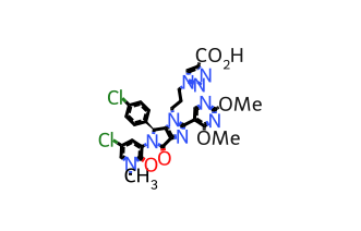 COc1ncc(-c2nc3c(n2CCCn2cc(C(=O)O)nn2)[C@H](c2ccc(Cl)cc2)N(c2cc(Cl)cn(C)c2=O)C3=O)c(OC)n1